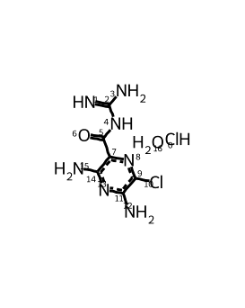 Cl.N=C(N)NC(=O)c1nc(Cl)c(N)nc1N.O